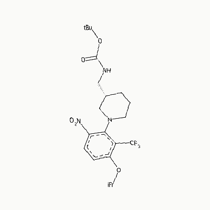 CC(C)Oc1ccc([N+](=O)[O-])c(N2CCC[C@@H](CNC(=O)OC(C)(C)C)C2)c1C(F)(F)F